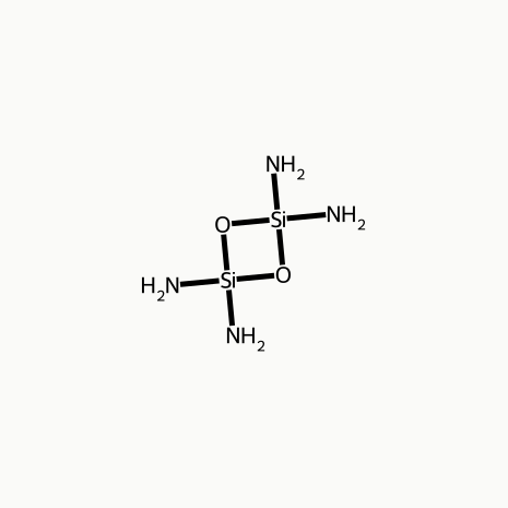 N[Si]1(N)O[Si](N)(N)O1